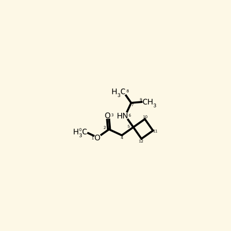 COC(=O)CC1(NC(C)C)CCC1